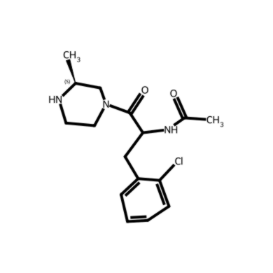 CC(=O)NC(Cc1ccccc1Cl)C(=O)N1CCN[C@@H](C)C1